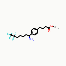 COC(=O)CCCc1ccc(C(N)CCCCC(F)(F)C(F)(F)F)cc1